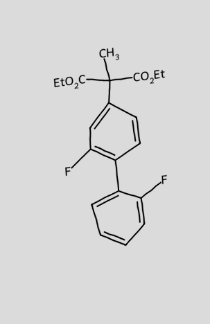 CCOC(=O)C(C)(C(=O)OCC)c1ccc(-c2ccccc2F)c(F)c1